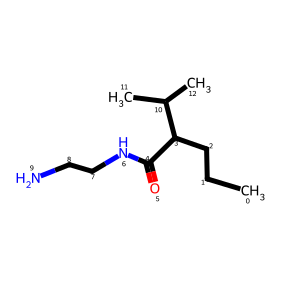 CCCC(C(=O)NCCN)C(C)C